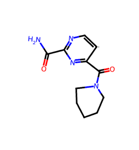 NC(=O)c1nc[c]c(C(=O)N2CCCCC2)n1